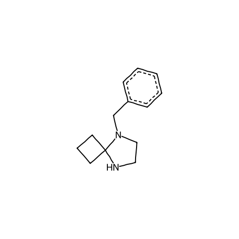 c1ccc(CN2CCNC23CCC3)cc1